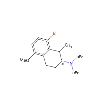 CCCN(CCC)[C@@H]1CCc2c(OC)ccc(Br)c2C1C